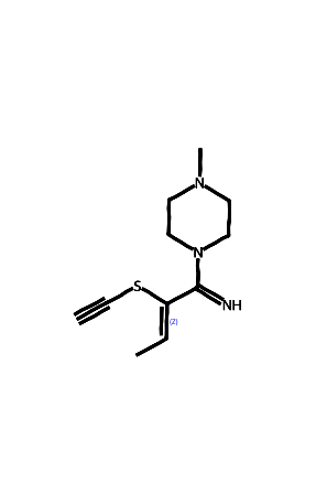 C#CS/C(=C\C)C(=N)N1CCN(C)CC1